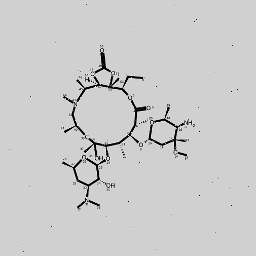 CC[C@H]1OC(=O)[C@H](C)[C@@H](O[C@H]2C[C@@](C)(OC)[C@H](N)[C@H](C)O2)[C@H](C)[C@@H](O[C@@H]2O[C@H](C)C[C@H](N(C)C)[C@H]2O)[C@](C)(O)C[C@@H](C)CN(C)[C@@H](C)[C@H]2OC(=O)O[C@@]21C